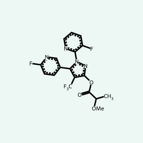 COC(C)C(=O)Oc1nn(-c2ncccc2F)c(-c2ccc(F)nc2)c1C(F)(F)F